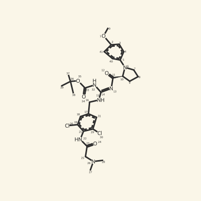 COc1ccc(N2CCC[C@H]2C(=O)/N=C(/NCc2cc(Cl)c(NC(=O)CN(C)C)c(Cl)c2)NC(=O)OC(C)(C)C)cc1